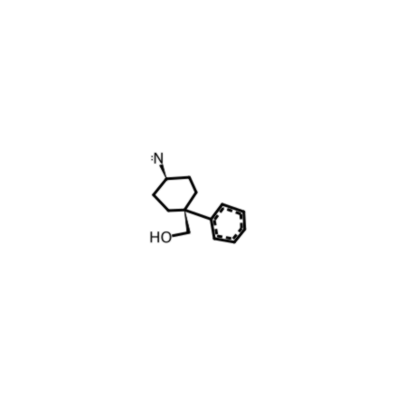 [N][C@H]1CC[C@](CO)(c2ccccc2)CC1